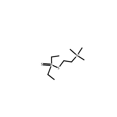 CCP(=S)(CC)SCC[N+](C)(C)C